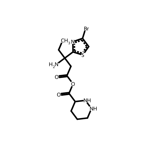 CCC(N)(CC(=O)OC(=O)C1CCCNN1)c1nc(Br)cs1